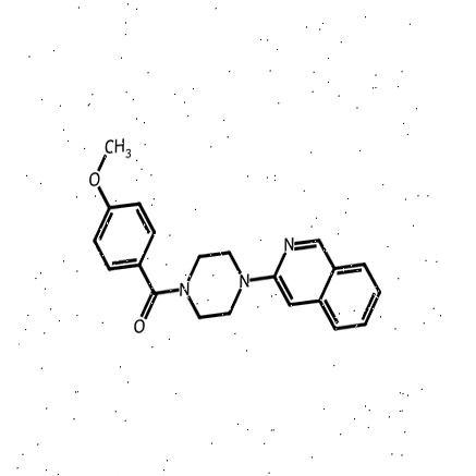 COc1ccc(C(=O)N2CCN(c3cc4ccccc4cn3)CC2)cc1